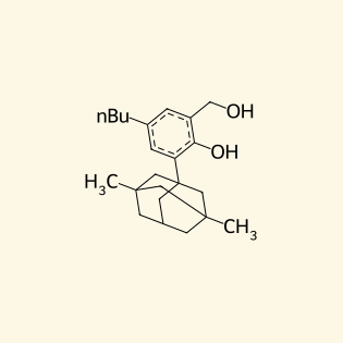 CCCCc1cc(CO)c(O)c(C23CC4CC(C)(CC(C)(C4)C2)C3)c1